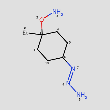 CCC1(ON)CCC(N=NN)CC1